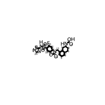 O=C(O)NC1CCc2cccc(Cn3c(=O)oc4cc(S(=O)(=O)Nc5ncns5)c(F)cc43)c2C1